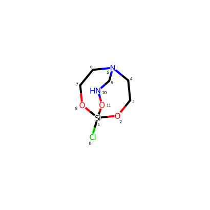 Cl[Si]12OCCN(CCO1)CNO2